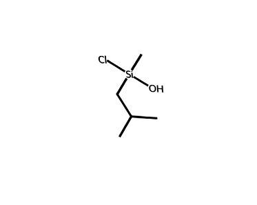 CC(C)C[Si](C)(O)Cl